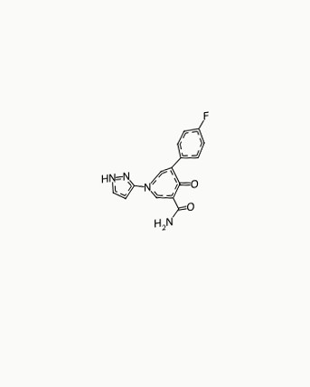 NC(=O)c1cn(-c2cc[nH]n2)cc(-c2ccc(F)cc2)c1=O